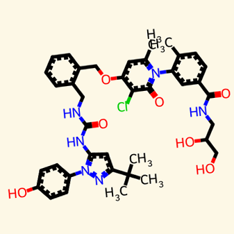 Cc1ccc(C(=O)NCC(O)CO)cc1-n1c(C)cc(OCc2ccccc2CNC(=O)Nc2cc(C(C)(C)C)nn2-c2ccc(O)cc2)c(Cl)c1=O